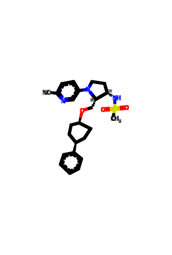 CS(=O)(=O)N[C@H]1CCN(c2ccc(C#N)nc2)[C@H]1CO[C@H]1CC[C@@H](c2ccccc2)CC1